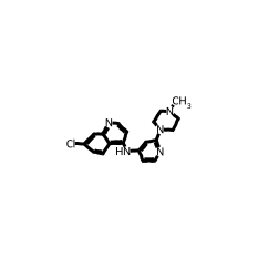 CN1CCN(c2cc(Nc3ccnc4cc(Cl)ccc34)ccn2)CC1